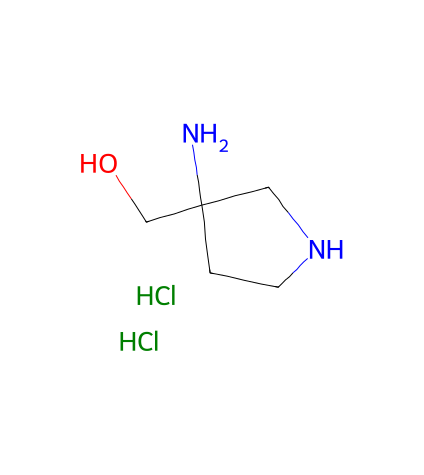 Cl.Cl.NC1(CO)CCNC1